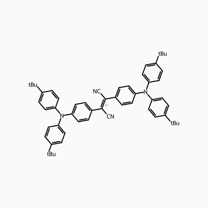 CC(C)(C)c1ccc(N(c2ccc(/C(C#N)=C(\C#N)c3ccc(N(c4ccc(C(C)(C)C)cc4)c4ccc(C(C)(C)C)cc4)cc3)cc2)c2ccc(C(C)(C)C)cc2)cc1